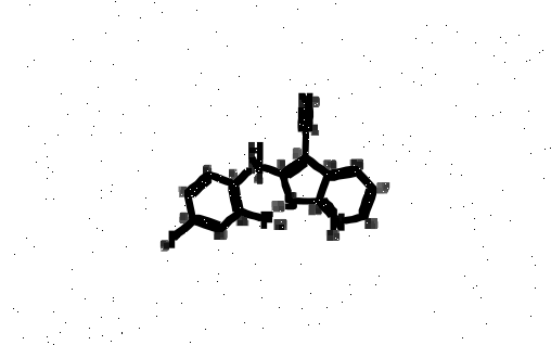 N#Cc1c(Nc2ccc(I)cc2F)sc2ncccc12